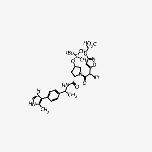 CC1=C(c2ccc([C@H](C)NC(=O)[C@@H]3C[C@@H](O[Si](C)(C)C(C)(C)C)CN3C(=O)C(c3cc(OCC(=O)O)no3)C(C)C)cc2)[SH]=CN1